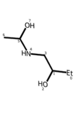 CCC(O)CNC(C)O